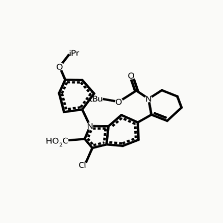 CC(C)Oc1ccc(-n2c(C(=O)O)c(Cl)c3ccc(C4=CCCCN4C(=O)OC(C)(C)C)cc32)cc1